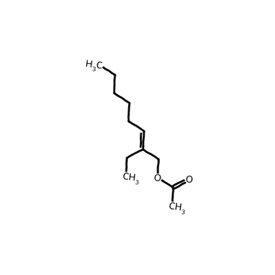 CCCCC/C=C(\CC)COC(C)=O